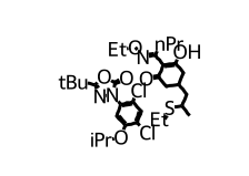 CC(C)Oc1cc(-n2nc(C(C)(C)C)oc2=O)c(Cl)cc1Cl.CCCC(=NOCC)C1=C(O)CC(CC(C)SCC)CC1=O